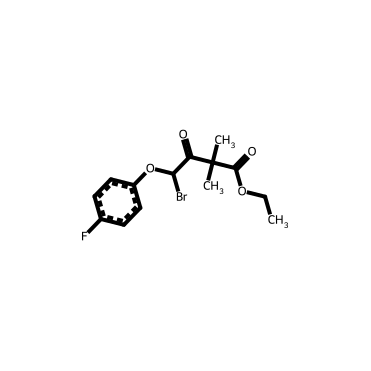 CCOC(=O)C(C)(C)C(=O)C(Br)Oc1ccc(F)cc1